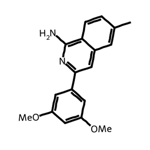 COc1cc(OC)cc(-c2cc3cc(C)ccc3c(N)n2)c1